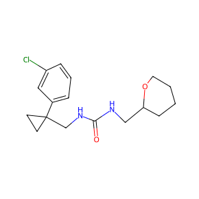 O=C(NCC1CCCCO1)NCC1(c2cccc(Cl)c2)CC1